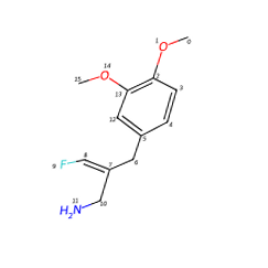 COc1ccc(CC(=CF)CN)cc1OC